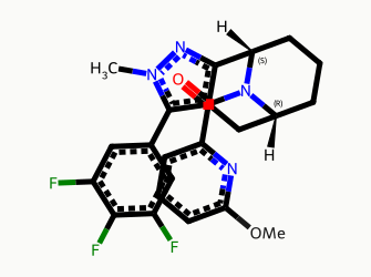 COc1cccc(C(=O)N2[C@@H]3CCC[C@H]2c2nn(C)c(-c4cc(F)c(F)c(F)c4)c2C3)n1